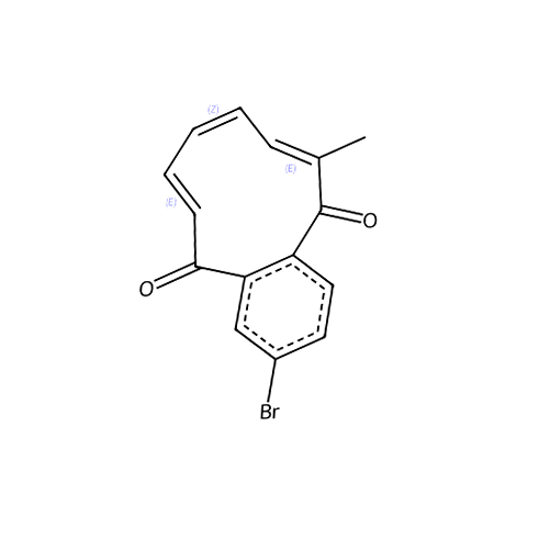 C\C1=C/C=C\C=C\C(=O)c2cc(Br)ccc2C1=O